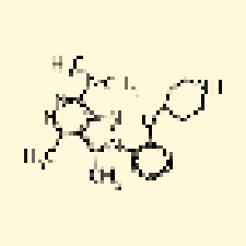 Cc1nnc(N(C)C)c2nn(-c3ccccc3OC3CCNCC3)c(C)c12